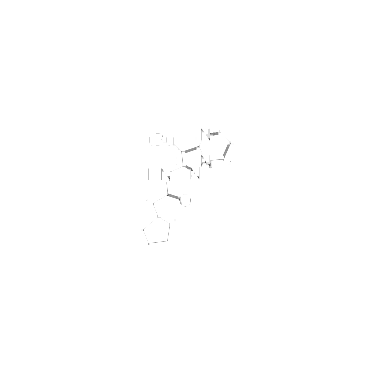 CC(C)(C)c1c(NC(=O)CC2CCCC2)nn2cccnc12